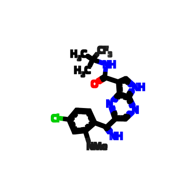 CNc1cc(Cl)ccc1C(=N)c1cnc2[nH]cc(C(=O)NC(C)(C)C(F)(F)F)c2n1